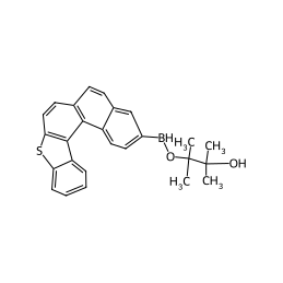 CC(C)(O)C(C)(C)OBc1ccc2c(ccc3ccc4sc5ccccc5c4c32)c1